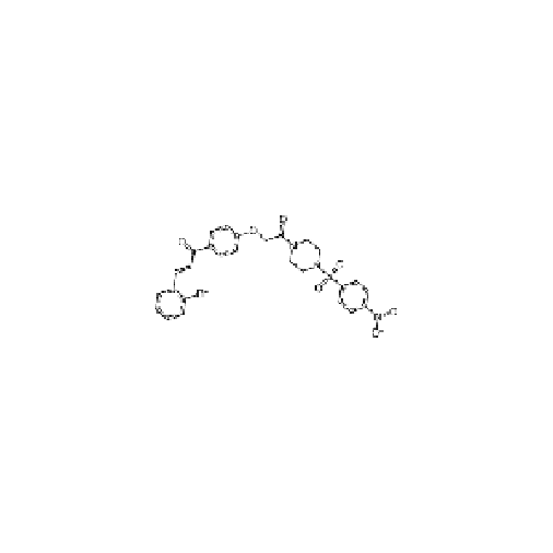 O=C(C=Cc1ccccc1Br)c1ccc(OCC(=O)N2CCN(S(=O)(=O)c3ccc([N+](=O)[O-])cc3)CC2)cc1